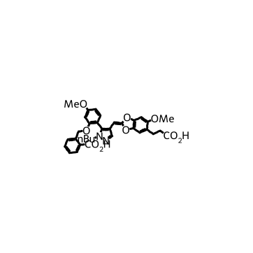 CCCCn1ncc(C=C2Oc3cc(CCC(=O)O)c(OC)cc3O2)c1-c1ccc(OC)cc1OCc1ccccc1C(=O)O